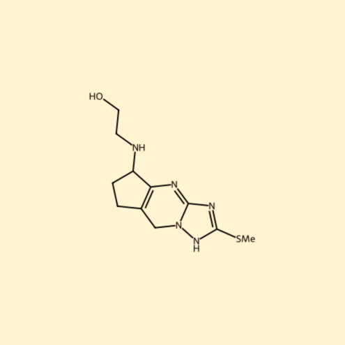 CSC1=NC2=NC3=C(CCC3NCCO)CN2N1